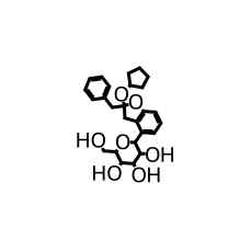 OCC1OC(c2cccc3c2CC(Cc2ccccc2)(OC2CCCC2)O3)C(O)C(O)C1O